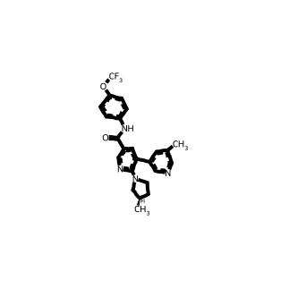 Cc1cncc(-c2cc(C(=O)Nc3ccc(OC(F)(F)F)cc3)cnc2N2CC[C@@H](C)C2)c1